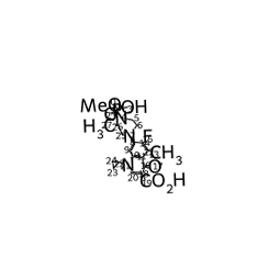 COP(=O)(O)N1CCN(c2cc3c(c(C)c2F)c(=O)c(C(=O)O)cn3C2CC2)CC1C